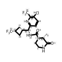 C[C@@H]1C(=O)NCCN1C(=O)N[C@@H](c1ccc(Cl)c(C(F)(F)F)n1)[C@H]1C[C@@H](C(F)(F)F)C1